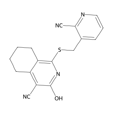 N#Cc1ncccc1CSc1nc(O)c(C#N)c2c1CCCC2